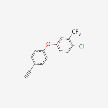 C#Cc1ccc(Oc2ccc(Cl)c(C(F)(F)F)c2)cc1